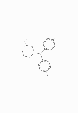 CCCC[C@H]1CN(C(c2ccc(Cl)cc2)c2ccc(Cl)cc2)CCN1